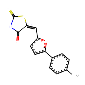 COc1ccc(-c2ccc(/C=C3/SC(=S)NC3=O)o2)cc1